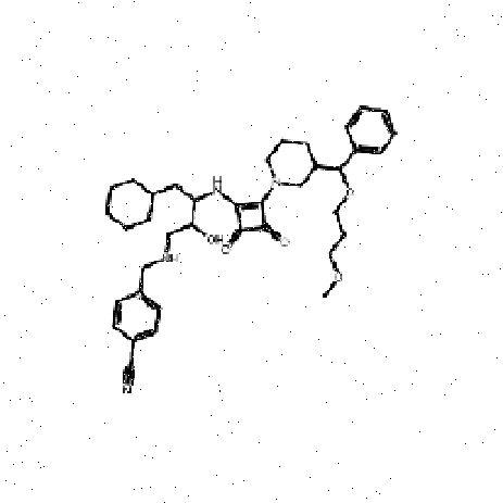 COCCCOC(c1ccccc1)C1CCCN(c2c(NC(CC3CCCCC3)C(O)CNCc3ccc(C#N)cc3)c(=O)c2=O)C1